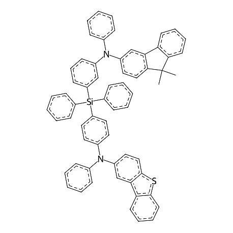 CC1(C)c2ccccc2-c2cc(N(c3ccccc3)c3cccc([Si](c4ccccc4)(c4ccccc4)c4ccc(N(c5ccccc5)c5ccc6sc7ccccc7c6c5)cc4)c3)ccc21